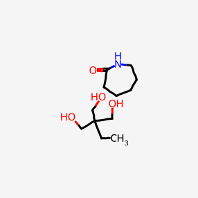 CCC(CO)(CO)CO.O=C1CCCCCN1